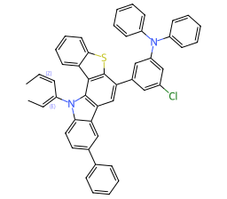 C/C=C\C(=C/C)n1c2ccc(-c3ccccc3)cc2c2cc(-c3cc(Cl)cc(N(c4ccccc4)c4ccccc4)c3)c3sc4ccccc4c3c21